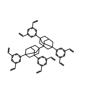 C=Cc1cc(C=C)cc(C23CC4CC(c5cc(C=C)cc(C=C)c5)(C2)CC(C25CC6CC(c7cc(C=C)cc(C=C)c7)(CC(c7cc(C=C)cc(C=C)c7)(C6)C2)C5)(C4)C3)c1